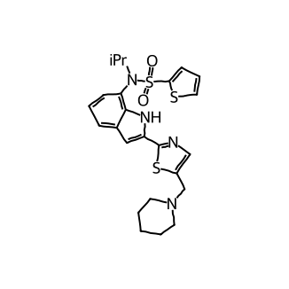 CC(C)N(c1cccc2cc(-c3ncc(CN4CCCCC4)s3)[nH]c12)S(=O)(=O)c1cccs1